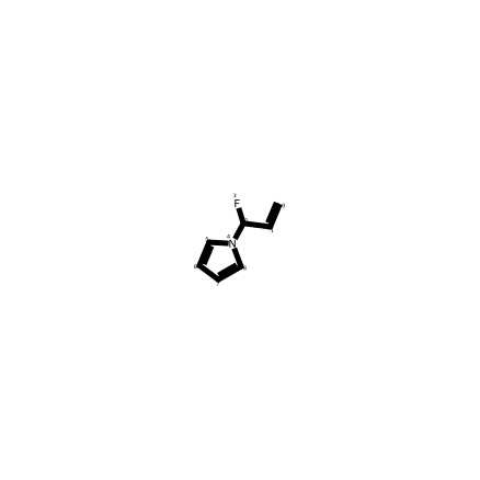 C=CC(F)n1cccc1